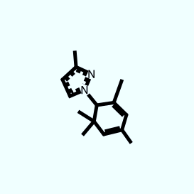 CC1=CC(C)(C)C(n2ccc(C)n2)C(C)=C1